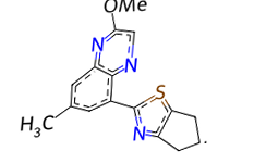 COc1cnc2c(-c3nc4c(s3)C[CH]C4)cc(C)cc2n1